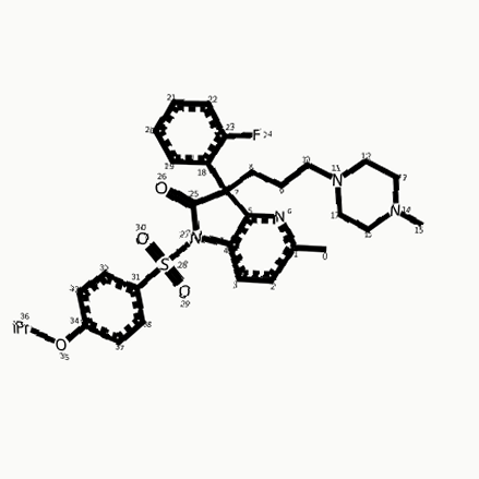 Cc1ccc2c(n1)C(CCCN1CCN(C)CC1)(c1ccccc1F)C(=O)N2S(=O)(=O)c1ccc(OC(C)C)cc1